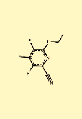 CCOc1nc(C#N)c(F)c(F)c1F